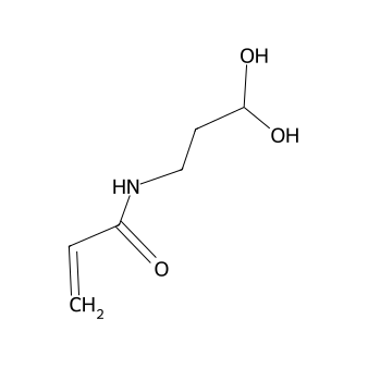 C=CC(=O)NCCC(O)O